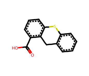 O=C(O)c1cccc2c1Cc1ccccc1S2